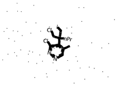 CCCC(CCl)(CI)c1c(C)cnnc1Cl